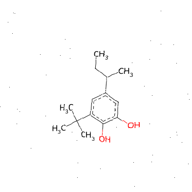 CCC(C)c1cc(O)c(O)c(C(C)(C)C)c1